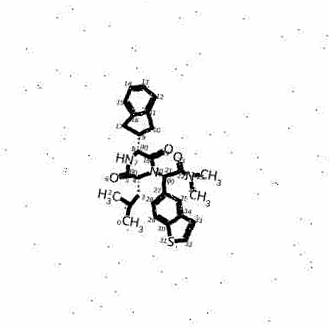 CC(C)C[C@@H]1C(=O)N[C@H](C2Cc3ccccc3C2)C(=O)N1[C@@H](C(=O)N(C)C)c1ccc2sccc2c1